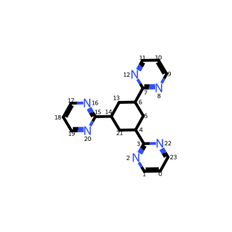 c1cnc(C2CC(c3ncccn3)CC(c3ncccn3)C2)nc1